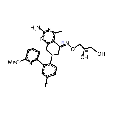 COc1cccc(-c2cc(F)ccc2C2C/C(=N\OC[C@H](O)CO)c3c(C)nc(N)nc3C2)n1